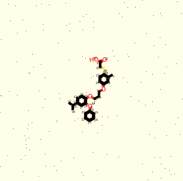 Cc1cc(OCC[C@H](C)Oc2ccc(C(C)C)cc2Oc2ccccc2)ccc1SCC(=O)O